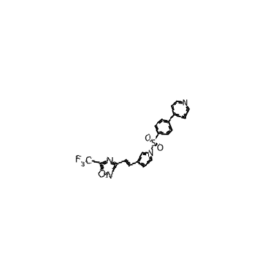 O=S(=O)(c1ccc(-c2ccncc2)cc1)n1ccc(C=Cc2noc(C(F)(F)F)n2)c1